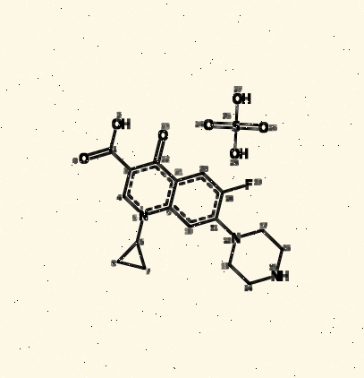 O=C(O)c1cn(C2CC2)c2cc(N3CCNCC3)c(F)cc2c1=O.O=S(=O)(O)O